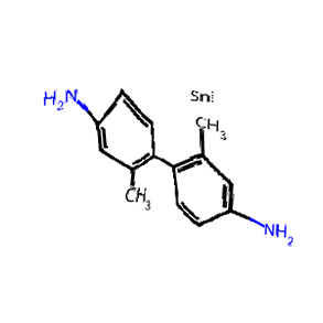 Cc1cc(N)ccc1-c1ccc(N)cc1C.[Sn]